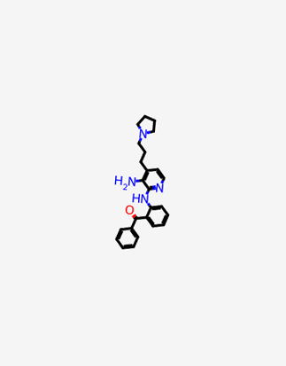 Nc1c(CCCN2CCCC2)ccnc1Nc1ccccc1C(=O)c1ccccc1